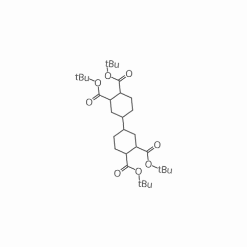 CC(C)(C)OC(=O)C1CCC(C2CCC(C(=O)OC(C)(C)C)C(C(=O)OC(C)(C)C)C2)CC1C(=O)OC(C)(C)C